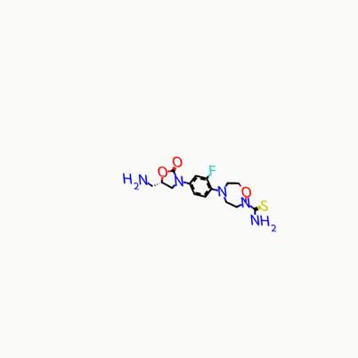 NC[C@H]1CN(c2ccc(N3CCON(C(N)=S)CC3)c(F)c2)C(=O)O1